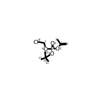 C=C(C)OP(=O)(OCCl)OC(C)(C)C